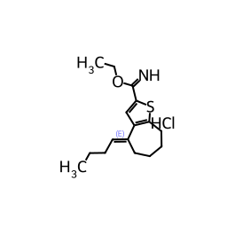 CCC/C=C1\CCCCc2sc(C(=N)OCC)cc21.Cl